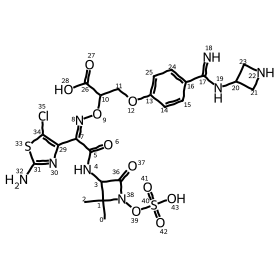 CC1(C)C(NC(=O)C(=NOC(COc2ccc(C(=N)NC3CNC3)cc2)C(=O)O)c2nc(N)sc2Cl)C(=O)N1OS(=O)(=O)O